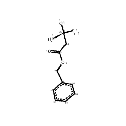 B[C@](C)(O)CC(=O)OCc1ccccc1